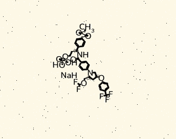 CCS(=O)(=O)c1ccc([C@H](CCOP(=O)(O)O)NC(=O)c2ccc(N3C[C@@H](Oc4ccc(C(F)(F)F)cc4)C[C@H]3COC(F)F)cc2)cc1.[NaH]